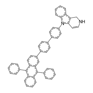 C1=Cc2c(c3ccccc3n2-c2ccc(-c3ccc(-c4ccc5c(-c6ccccc6)c6ccccc6c(-c6ccccc6)c5c4)cc3)cc2)CN1